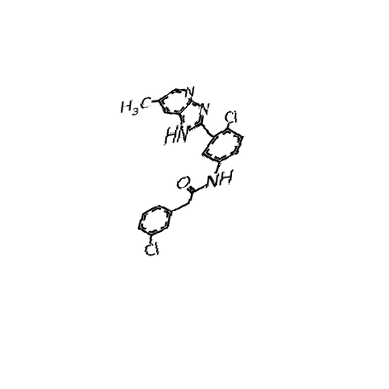 Cc1cnc2nc(-c3cc(NC(=O)Cc4cccc(Cl)c4)ccc3Cl)[nH]c2c1